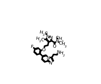 Cc1c(CCOc2cc(F)ccc2-c2ccc3ncc(CCN)n3c2)c(C(=O)N(C)C)nn1C